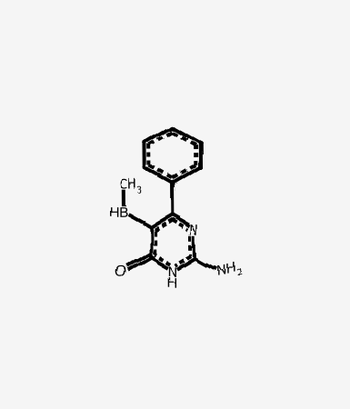 CBc1c(-c2ccccc2)nc(N)[nH]c1=O